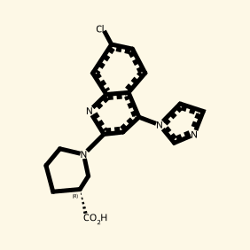 O=C(O)[C@@H]1CCCN(c2cc(-n3ccnc3)c3ccc(Cl)cc3n2)C1